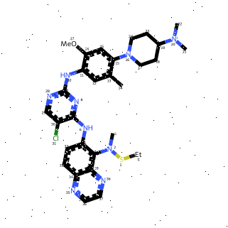 CCSN(C)c1c(Nc2nc(Nc3cc(C)c(N4CCC(N(C)C)CC4)cc3OC)ncc2Cl)ccc2nccnc12